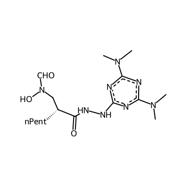 CCCCC[C@H](CN(O)C=O)C(=O)NNc1nc(N(C)C)nc(N(C)C)n1